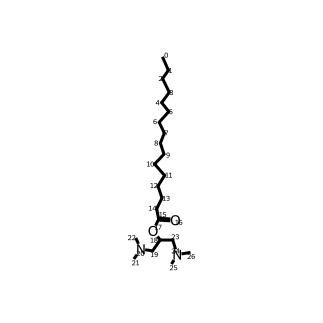 CCCCCCCCCCCCCCCC(=O)OC(CN(C)C)CN(C)C